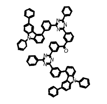 O=C(c1cccc(-c2nc(-c3ccccc3)nc(-c3cccc(-c4cccc5c4c4cc(-c6ccccc6)ccc4n5-c4ccccc4)c3)n2)c1)c1cccc(-c2nc(-c3ccccc3)nc(-c3cccc(-c4cccc5c4c4cc(-c6ccccc6)ccc4n5C4C=CC=CC4)c3)n2)c1